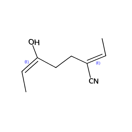 C/C=C(/O)CC/C(C#N)=C\C